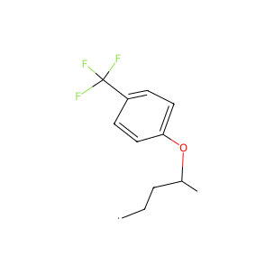 [CH2]CCC(C)Oc1ccc(C(F)(F)F)cc1